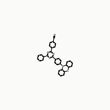 N#Cc1ccc(-c2nc(-c3ccccc3)nc(-c3ccc(N4c5ccccc5Sc5ccccc54)cc3)n2)cc1